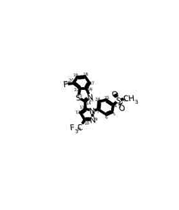 CS(=O)(=O)c1ccc(-n2nc(C(F)(F)F)cc2-c2nc3cccc(F)c3s2)cc1